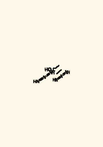 CC.CC(=O)O.N=[N+]=N.N=[N+]=N